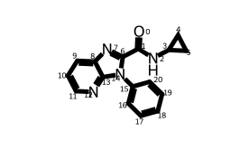 O=C(NC1CC1)c1nc2cccnc2n1-c1ccccc1